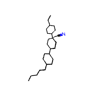 CCCCCC1CCC(C2CCC(C#N)(C3CCC(CC)CC3)CC2)CC1